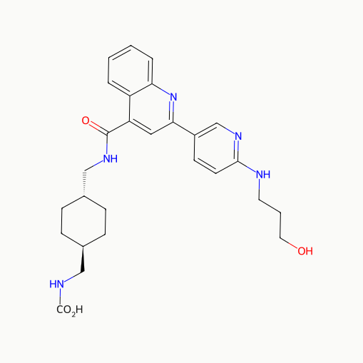 O=C(O)NC[C@H]1CC[C@H](CNC(=O)c2cc(-c3ccc(NCCCO)nc3)nc3ccccc23)CC1